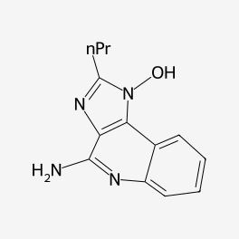 CCCc1nc2c(N)nc3ccccc3c2n1O